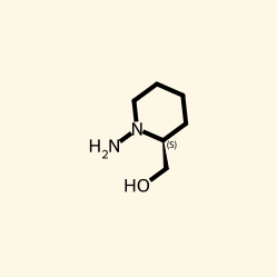 NN1CCCC[C@H]1CO